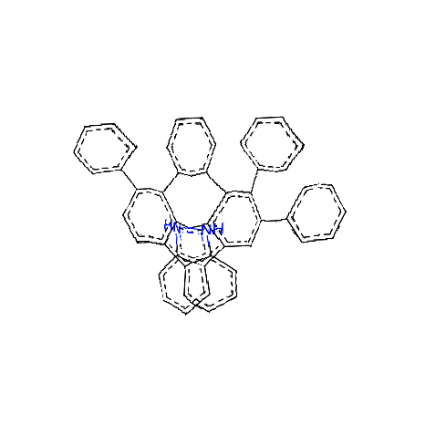 c1ccc(-c2cc3c([nH]c4ccccc43)c(-c3ccccc3-c3c(-c4ccccc4)ccc4c3[nH]c3ccccc34)c2-c2ccccc2)cc1